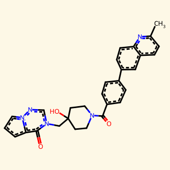 Cc1ccc2cc(-c3ccc(C(=O)N4CCC(O)(Cn5cnn6cccc6c5=O)CC4)cc3)ccc2n1